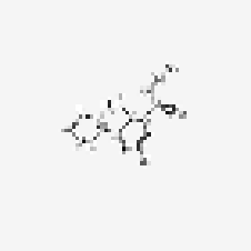 C=C(N=[N+]=[N-])c1cc(F)cc(-c2ccccc2)c1C